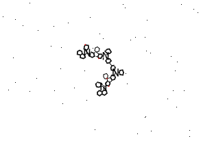 c1ccc(N(c2ccc(-c3ccc(N(c4ccccc4)c4ccc5c(c4)C4(CCCCC4)c4cc(N(c6ccccc6)c6cccc7ccccc67)ccc4-5)cc3)cc2)c2ccc3c(c2)C2(CCCCC2)c2cc(N(c4ccccc4)c4cccc5ccccc45)ccc2-3)cc1